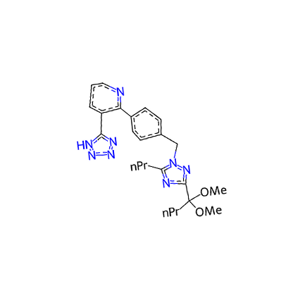 CCCc1nc(C(CCC)(OC)OC)nn1Cc1ccc(-c2ncccc2-c2nnn[nH]2)cc1